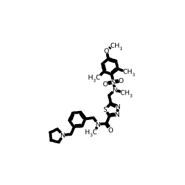 COc1cc(C)c(S(=O)(=O)N(C)Cc2nnc(C(=O)N(C)Cc3cccc(CN4CCCC4)c3)s2)c(C)c1